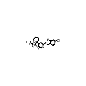 CC(C)(C)C1(c2ccnc(OCc3ccc(Cl)cc3F)n2)CCCCN1C(=O)O